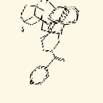 Cc1nc2ccccc2n1[C@H]1C[C@H]2CC[C@@H](C1)N2CCC1(c2cccc(Cl)c2)CCN(C(=O)c2ccccc2)CC1